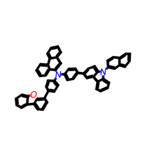 c1ccc2cc(-n3c4ccccc4c4cc(-c5ccc(N(c6ccc(-c7cccc8c7oc7ccccc78)cc6)c6cc7ccccc7c7ccccc67)cc5)ccc43)ccc2c1